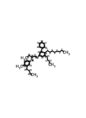 CCCCCCCCc1c(CCCC)cc(N=CC(CC)=Nc2ccc(C)c(CCCC)c2)cc1-c1ccccc1